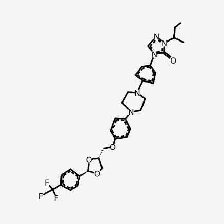 CCC(C)n1ncn(-c2ccc(N3CCN(c4ccc(OC[C@@H]5CO[C@@H](c6ccc(C(F)(F)F)cc6)O5)cc4)CC3)cc2)c1=O